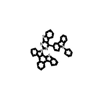 c1ccc(-n2c3ccccc3c3cc(-c4nc(-n5c6ccccc6c6c7ccccc7c7c8ccccc8sc7c65)nc5sc6ccccc6c45)ccc32)cc1